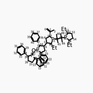 C=C(C)[C@@H]1CC(C2C[C@@H](c3ccccc3)P(OP3[C@H](c4ccccc4)CC[C@H]3c3ccccc3)[C@@H]2c2ccccc2)[C@@H](CC)P1C(C)(C)C(C)(C)P1[C@@H](CC)CC[C@@H]1CC